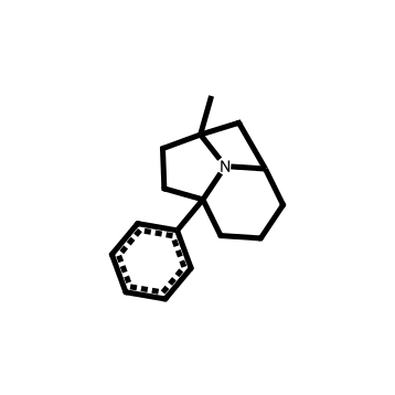 CC12CCC3(c4ccccc4)CCCC(C1)N23